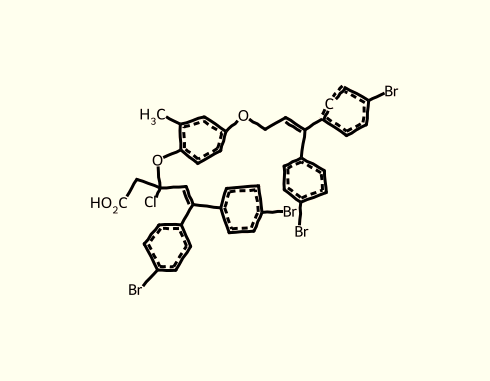 Cc1cc(OCC=C(c2ccc(Br)cc2)c2ccc(Br)cc2)ccc1OC(Cl)(C=C(c1ccc(Br)cc1)c1ccc(Br)cc1)CC(=O)O